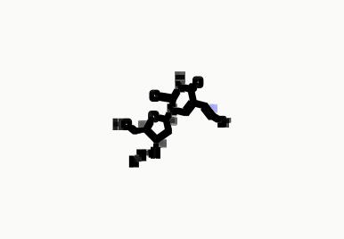 [N-]=[N+]=N[C@H]1C[C@H](n2cc(/C=C/Br)c(=O)[nH]c2=O)O[C@@H]1CO